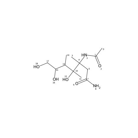 CC(=O)NC(C)(CC(N)=O)C(C)(O)C(C)C(O)CO